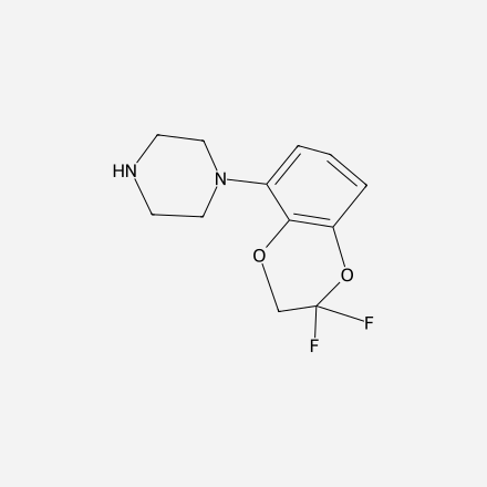 FC1(F)COc2c(cccc2N2CCNCC2)O1